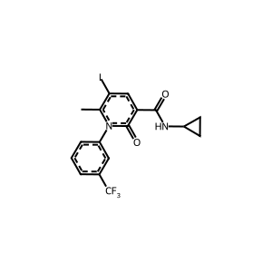 Cc1c(I)cc(C(=O)NC2CC2)c(=O)n1-c1cccc(C(F)(F)F)c1